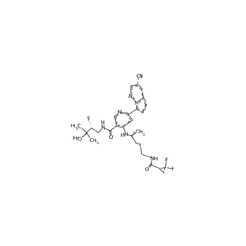 C=C(CCCNC(=O)C1CC1(F)F)Nc1cc(-c2ccc3cc(C#N)cnn23)ncc1C(=O)NC[C@@H](F)C(C)(C)O